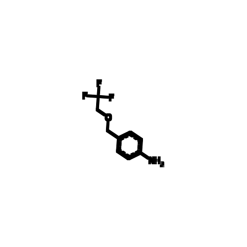 Nc1ccc(COCC(F)(F)F)cc1